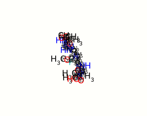 CCOc1ccc(N2[C@@H](c3ccc4nc([C@@H]5CCCN5C(=O)[C@@H](NC(=O)OC)C(C)C)[nH]c4c3)CC[C@@H]2c2ccc3nc([C@@H]4CCCN4C(=O)[C@H](C(C)C)N(C)C(=O)O)[nH]c3c2)cc1F